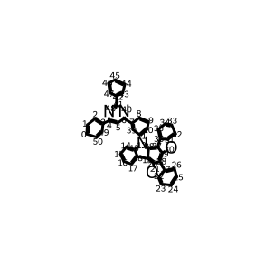 c1ccc(-c2cc(-c3cccc(-n4c5ccccc5c5c6oc7ccccc7c6c6oc7ccccc7c6c54)c3)nc(-c3ccccc3)n2)cc1